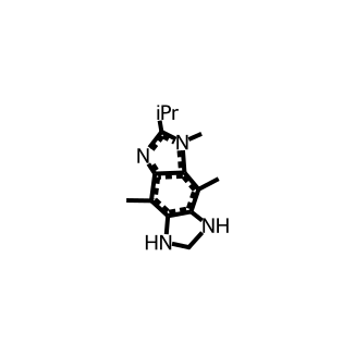 Cc1c2c(c(C)c3c1nc(C(C)C)n3C)NCN2